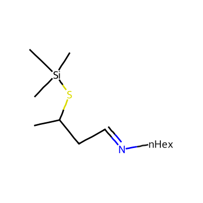 CCCCCCN=CCC(C)S[Si](C)(C)C